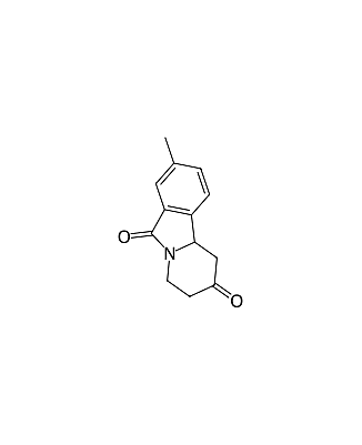 Cc1ccc2c(c1)C(=O)N1CCC(=O)CC21